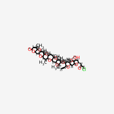 CC1=CC(=O)OC2CC3OC4C[C@@H](C)C5OC6CC7O[C@@]8(C)C/C=C\C9OC%10CC%11O[C@H](CC(=O)CCl)C[C@H](O)[C@]%11(C)O[C@@H]%10C[C@@H]9O[C@@H]8C[C@]7(C)O[C@]6(C)CC[C@@H]5O[C@@H]4C[C@]3(C)O[C@H]12